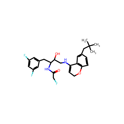 CC(C)(C)Cc1ccc2c(c1)C(NCC(O)C(Cc1cc(F)cc(F)c1)NC(=O)CF)=CCO2